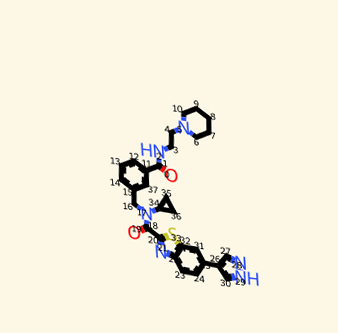 O=C(NCCN1CCCCC1)c1cccc(CN(C(=O)c2nc3ccc(-c4cn[nH]c4)cc3s2)C2CC2)c1